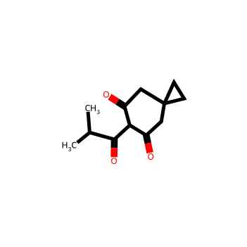 CC(C)C(=O)C1C(=O)CC2(CC2)CC1=O